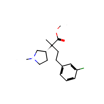 CC(C)(C)OC(=O)C(C)(CCc1cccc(Br)c1)[C@H]1CCN(C(=O)O)C1